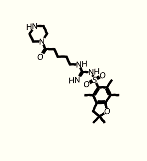 Cc1c(C)c(S(=O)(=O)NC(=N)NCCCCC(=O)N2CCNCC2)c(C)c2c1OC(C)(C)C2